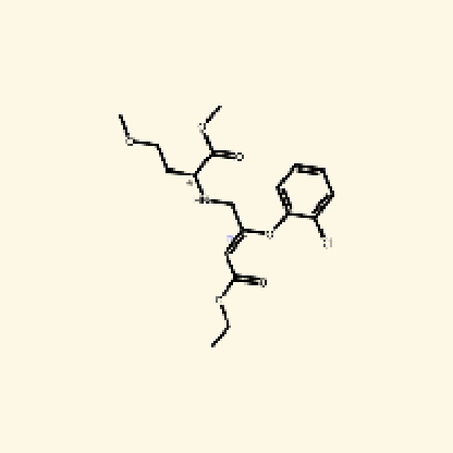 CCOC(=O)/C=C(/CN[C@@H](CCOC)C(=O)OC)Oc1ccccc1Cl